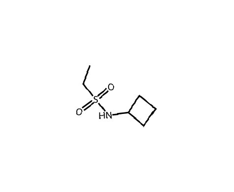 CCS(=O)(=O)NC1CCC1